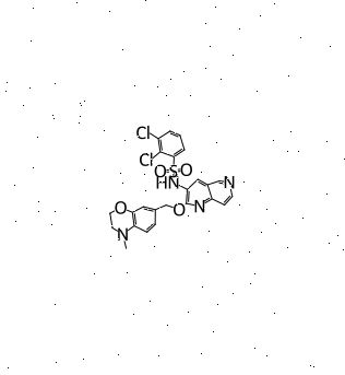 CN1CCOc2cc(COc3nc4ccncc4cc3NS(=O)(=O)c3cccc(Cl)c3Cl)ccc21